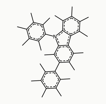 Cc1c(C)c(C)c(-c2c(C)c(C)c3c4c(C)c(C)c(C)c(C)c4n(-c4c(C)c(C)c(C)c(C)c4C)c3c2C)c(C)c1C